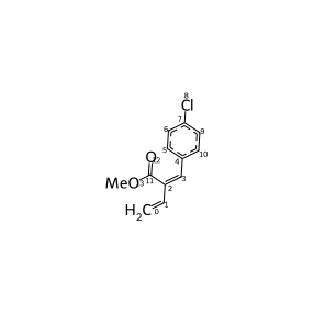 C=CC(=Cc1ccc(Cl)cc1)C(=O)OC